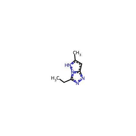 CCc1nnc2cc(C)[nH]n12